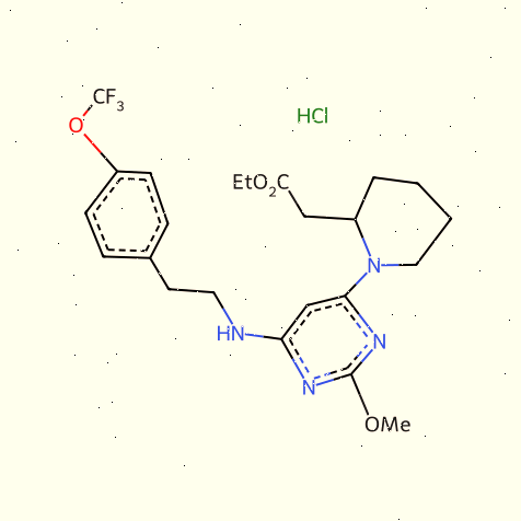 CCOC(=O)CC1CCCCN1c1cc(NCCc2ccc(OC(F)(F)F)cc2)nc(OC)n1.Cl